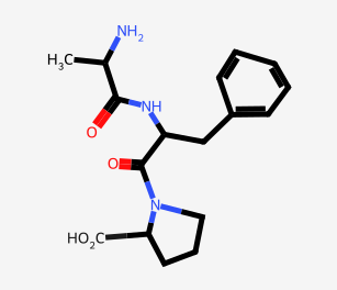 CC(N)C(=O)NC(Cc1ccccc1)C(=O)N1CCCC1C(=O)O